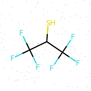 FC(F)(F)C(S)C(F)(F)F